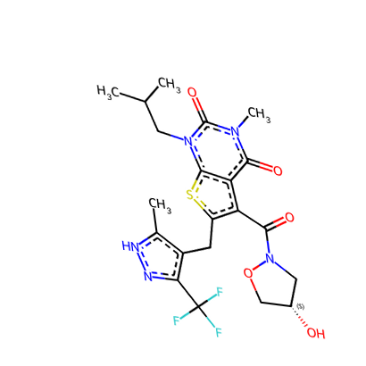 Cc1[nH]nc(C(F)(F)F)c1Cc1sc2c(c1C(=O)N1C[C@H](O)CO1)c(=O)n(C)c(=O)n2CC(C)C